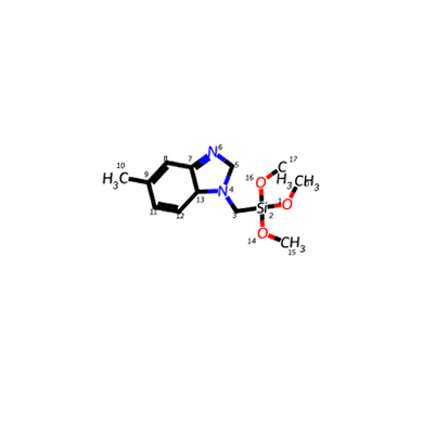 CO[Si](CN1CN=C2C=C(C)C=CC21)(OC)OC